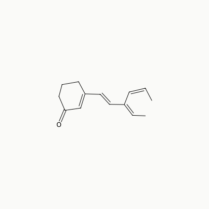 C\C=C/C(/C=C/C1=CC(=O)CCC1)=C\C